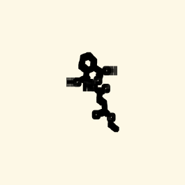 CCOC(=O)C=CC(=O)O.O=C(O)c1ccccc1C(=O)O